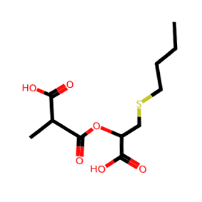 CCCCSCC(OC(=O)C(C)C(=O)O)C(=O)O